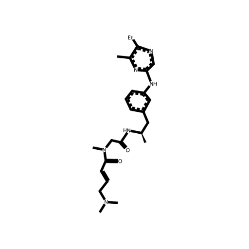 CCc1ncc(Nc2cccc(C[C@@H](C)NC(=O)CN(C)C(=O)/C=C/CN(C)C)c2)nc1C